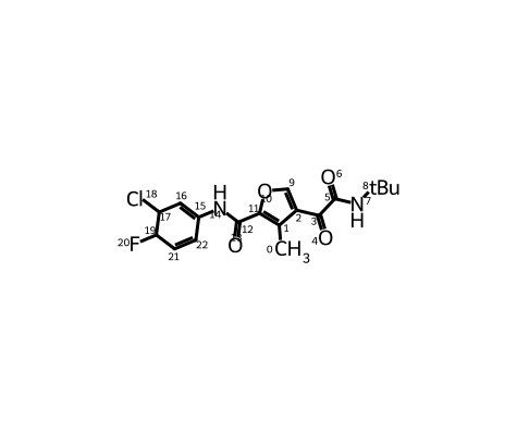 Cc1c(C(=O)C(=O)NC(C)(C)C)coc1C(=O)NC1=CC(Cl)C(F)C=C1